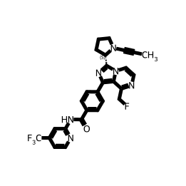 CC#CN1CCC[C@H]1c1nc(-c2ccc(C(=O)Nc3cc(C(F)(F)F)ccn3)cc2)c2c(CF)nccn12